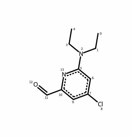 CCN(CC)c1cc(Cl)cc(C=O)n1